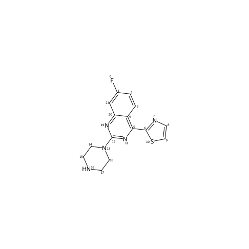 Fc1ccc2c(-c3nccs3)nc(N3CCNCC3)nc2c1